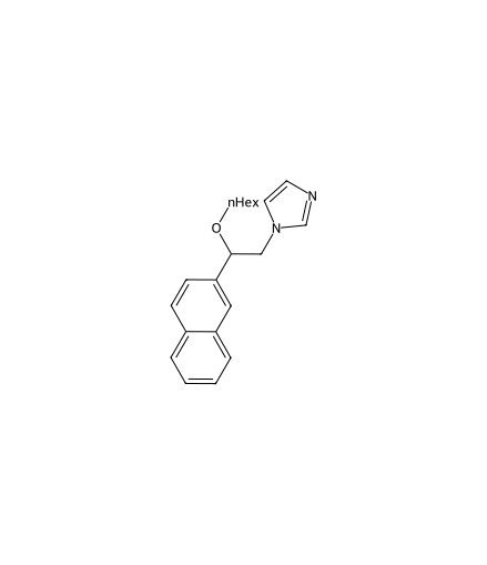 CCCCCCOC(Cn1ccnc1)c1ccc2ccccc2c1